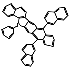 c1ccc(-p2c3cc4c(-c5ccc6ccccc6c5)c5ccccc5c(-c5ccc6ccccc6c5)c4cc3c3ccc4ccccc4c32)cc1